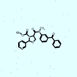 CN(C(=O)C1CSC(c2cccnc2)N1C(=O)OC(C)(C)C)c1cccc(C(=O)c2ccccc2)c1